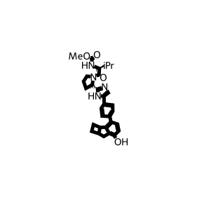 COC(=O)N[C@H](C(=O)N1CCC[C@H]1c1ncc(-c2ccc(-c3ccc(O)c4c3C3CCC3C4)cc2)[nH]1)C(C)C